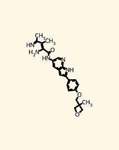 CC(=N)/C(C)=C(\N)C(=O)Nc1cnc2[nH]c(-c3ccc(OCC4(C)COC4)cc3)cc2c1